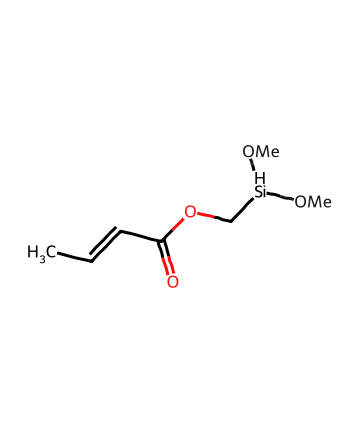 CC=CC(=O)OC[SiH](OC)OC